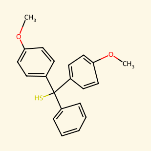 COc1ccc(C(S)(c2ccccc2)c2ccc(OC)cc2)cc1